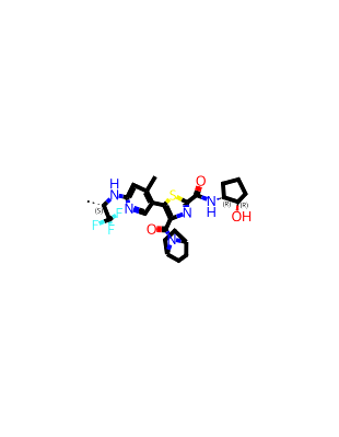 Cc1cc(N[C@@H](C)C(F)(F)F)ncc1-c1sc(C(=O)N[C@@H]2CCC[C@H]2O)nc1C(=O)N1C2CCC1CC2